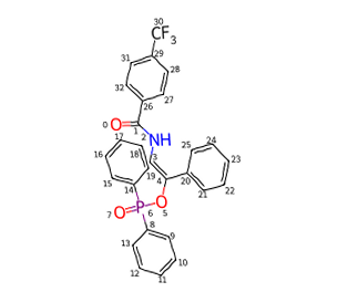 O=C(NC=C(OP(=O)(c1ccccc1)c1ccccc1)c1ccccc1)c1ccc(C(F)(F)F)cc1